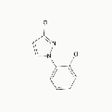 Clc1c[c]n(-c2ccccc2Cl)n1